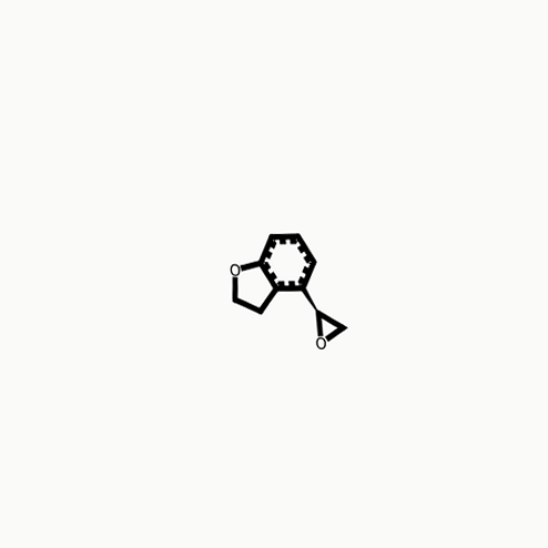 c1cc2c(c([C@H]3CO3)c1)CCO2